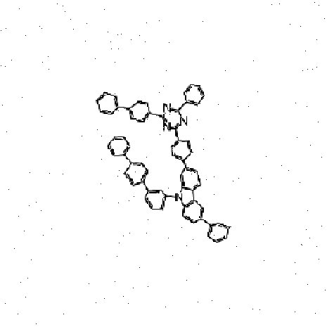 c1ccc(-c2ccc(-c3cccc(-n4c5ccc(-c6ccccc6)cc5c5ccc(-c6ccc(-c7nc(-c8ccccc8)nc(-c8ccc(-c9ccccc9)cc8)n7)cc6)cc54)c3)cc2)cc1